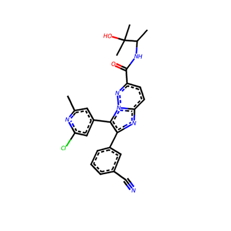 Cc1cc(-c2c(-c3cccc(C#N)c3)nc3ccc(C(=O)NC(C)C(C)(C)O)nn23)cc(Cl)n1